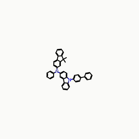 CC1(C)c2ccccc2-c2ccc(N(c3ccccc3)c3ccc4c(c3)c3ccccc3n4-c3ccc(-c4ccccc4)cc3)cc21